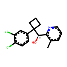 Cc1cccnc1[C@@H](O)C1(c2ccc(Cl)c(Cl)c2)CCC1